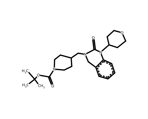 CC(C)(C)OC(=O)N1CCC(CN2Cc3ccccc3N(C3CCOCC3)C2=O)CC1